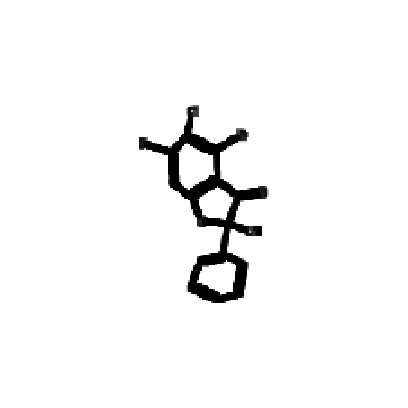 N#CC1(c2ccccc2)Oc2cc(F)c(Cl)c(Br)c2C1=O